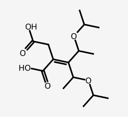 CC(C)OC(C)C(=C(CC(=O)O)C(=O)O)C(C)OC(C)C